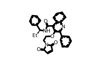 CC[C@H](NC(=O)c1c(OCCN2C(=O)C=CC2=O)c(-c2ccccc2)nc2ccccc12)c1ccccc1